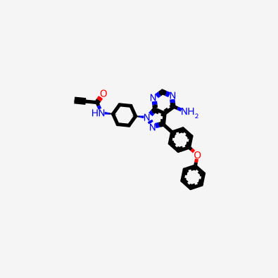 C#CC(=O)N[C@H]1CC[C@@H](n2nc(-c3ccc(Oc4ccccc4)cc3)c3c(N)ncnc32)CC1